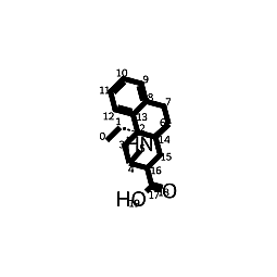 CC[C@]12CC3NC(Cc4ccccc41)C2CC3C(=O)O